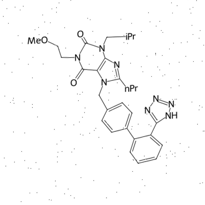 CCCc1nc2c(c(=O)n(CCOC)c(=O)n2CC(C)C)n1Cc1ccc(-c2ccccc2-c2nnn[nH]2)cc1